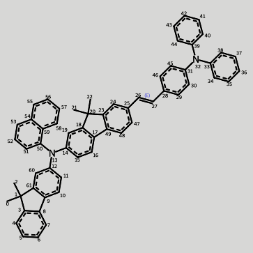 CC1(C)c2ccccc2-c2ccc(N(c3ccc4c(c3)C(C)(C)c3cc(/C=C/c5ccc(N(c6ccccc6)c6ccccc6)cc5)ccc3-4)c3cccc4ccccc34)cc21